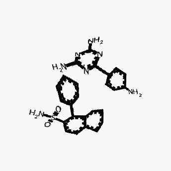 NS(=O)(=O)c1ccc2ccccc2c1-c1ccccc1.Nc1ccc(-c2nc(N)nc(N)n2)cc1